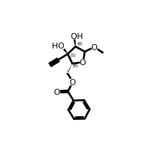 C#C[C@@]1(O)[C@@H](COC(=O)c2ccccc2)OC(OC)[C@@H]1O